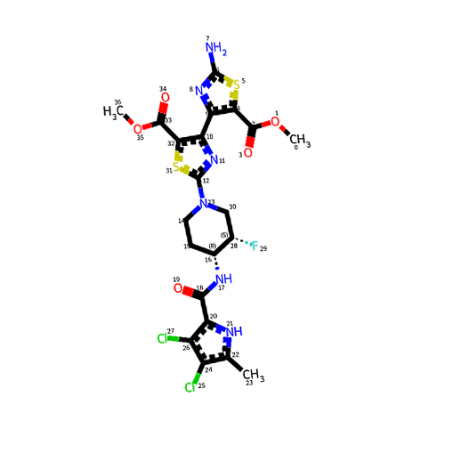 COC(=O)c1sc(N)nc1-c1nc(N2CC[C@@H](NC(=O)c3[nH]c(C)c(Cl)c3Cl)[C@@H](F)C2)sc1C(=O)OC